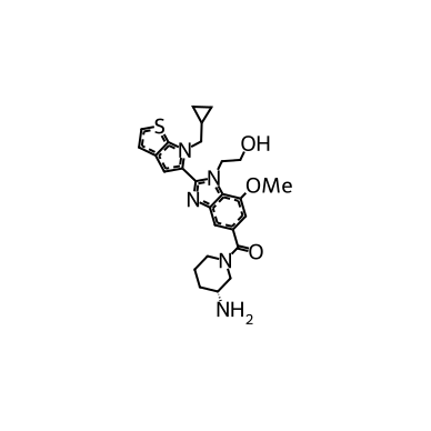 COc1cc(C(=O)N2CCC[C@@H](N)C2)cc2nc(-c3cc4ccsc4n3CC3CC3)n(CCO)c12